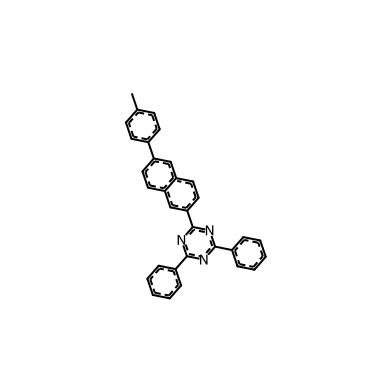 Cc1ccc(-c2ccc3cc(-c4nc(-c5ccccc5)nc(-c5ccccc5)n4)ccc3c2)cc1